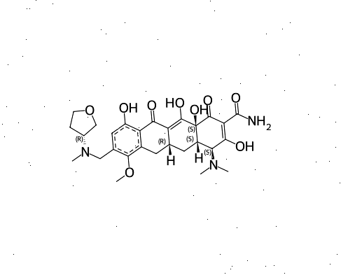 COc1c(CN(C)[C@@H]2CCOC2)cc(O)c2c1C[C@H]1C[C@H]3[C@H](N(C)C)C(O)=C(C(N)=O)C(=O)[C@@]3(O)C(O)=C1C2=O